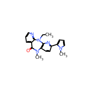 CCN1c2ncccc2C(=O)N(C)c2ccc(-c3cccn3C)nc21